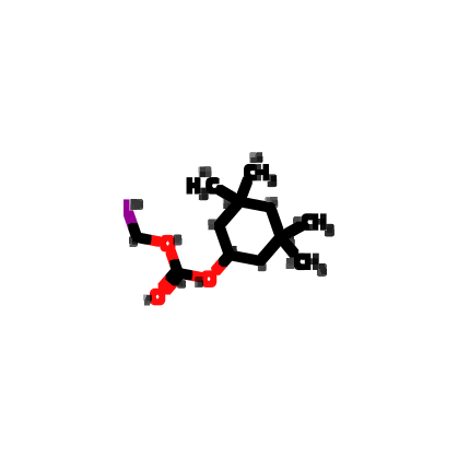 CC1(C)CC(OC(=O)OCI)CC(C)(C)C1